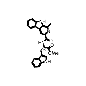 COC(=O)[C@H](Cc1c[nH]c2ccccc12)NC(=O)c1cc2c([nH]c3ccccc32)c(C)n1